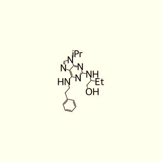 CCC(CO)Nc1nc(NCCc2ccccc2)c2ncn(C(C)C)c2n1